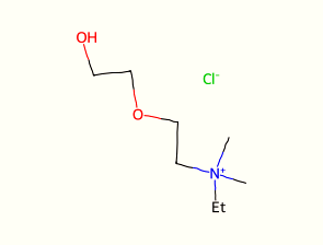 CC[N+](C)(C)CCOCCO.[Cl-]